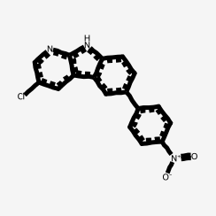 O=[N+]([O-])c1ccc(-c2ccc3[nH]c4ncc(Cl)cc4c3c2)cc1